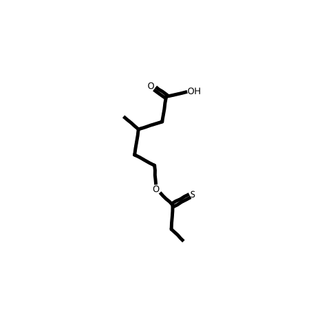 CCC(=S)OCCC(C)CC(=O)O